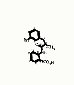 CC(Cc1cccc(Br)c1)C(=O)Nc1ccccc1C(=O)O